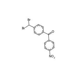 O=C(c1ccc(C(Br)Br)cc1)c1ccc([N+](=O)[O-])cc1